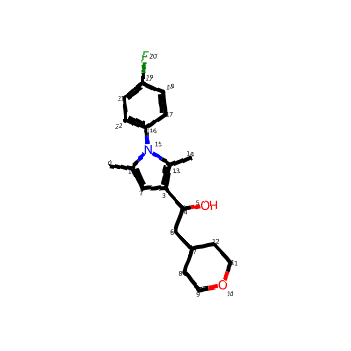 Cc1cc(C(O)CC2CCOCC2)c(C)n1-c1ccc(F)cc1